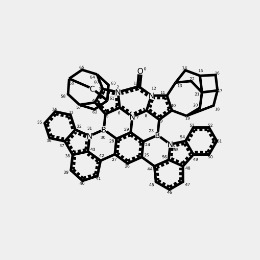 O=c1n2c3c(c4c2n2c5c(c6c(n15)C1CC5CC7CC6CC75C1)B1c5c(cc6c(c5-2)B4n2c4ccccc4c4cccc-6c42)-c2cccc4c5ccccc5n1c24)C1CC2CC(C1)CC3C2